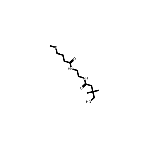 CSCCCC(=O)NCCNC(=O)CC(C)(C)CO